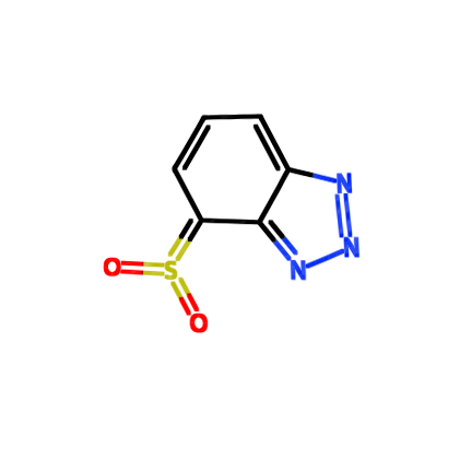 O=S(=O)=C1C=CC=C2N=NN=C21